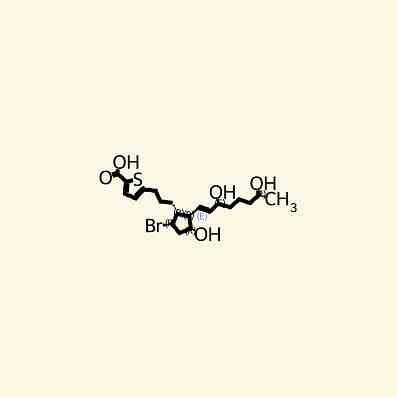 C[C@@H](O)CCC[C@H](O)/C=C/[C@@H]1[C@@H](CCCc2ccc(C(=O)O)s2)[C@H](Br)C[C@H]1O